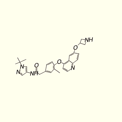 Cc1cc(CC(=O)Nc2cnn(C(C)(C)C)c2)ccc1Oc1ccnc2ccc(OC3CNC3)cc12